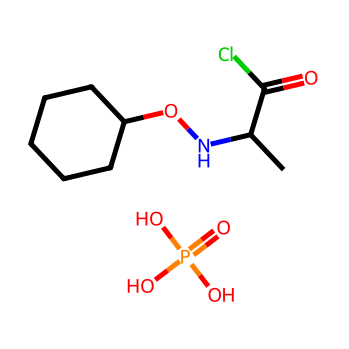 CC(NOC1CCCCC1)C(=O)Cl.O=P(O)(O)O